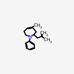 C=C(C)CC1CC(C)=CCCN1c1ccccc1